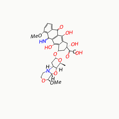 COc1cccc2c1C(=N)c1c(O)c3c(c(O)c1C2=O)C[C@@](O)(C(=O)CO)C[C@@H]3O[C@H]1C[C@H]2[C@H](O[C@@H]3[C@@H](OC)OCCN32)[C@H](C)O1